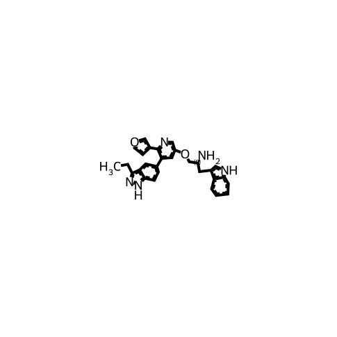 CCc1n[nH]c2ccc(-c3cc(OC[C@@H](N)Cc4c[nH]c5ccccc45)cnc3-c3ccoc3)cc12